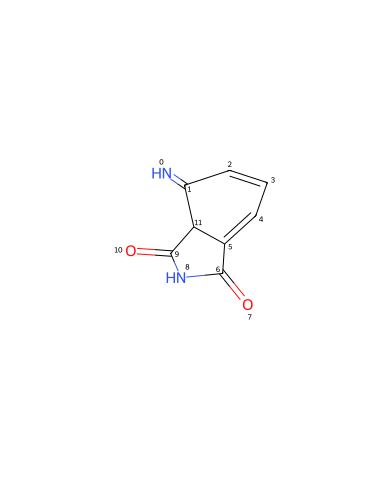 N=C1C=CC=C2C(=O)NC(=O)C12